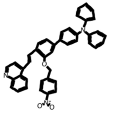 O=[N+]([O-])c1ccc(COc2cc(-c3ccc(N(c4ccccc4)c4ccccc4)cc3)ccc2C=Cc2ccnc3ccccc23)cc1